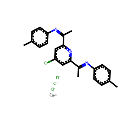 CC(=Nc1ccc(C)cc1)c1cc(Cl)cc(C(C)=Nc2ccc(C)cc2)n1.[Cl-].[Cl-].[Cl-].[Co+3]